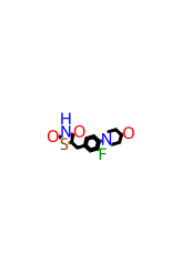 O=C1CCN(c2ccc(CC3SC(=O)NC3=O)cc2F)CC1